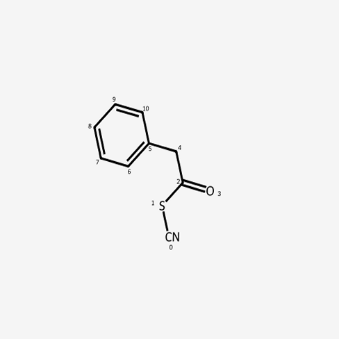 N#CSC(=O)Cc1ccccc1